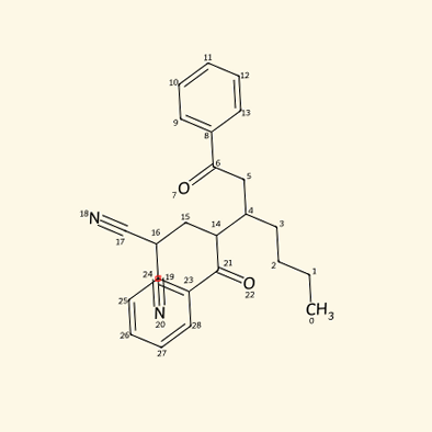 CCCCC(CC(=O)c1ccccc1)C(CC(C#N)C#N)C(=O)c1ccccc1